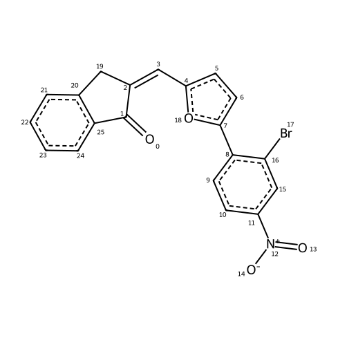 O=C1C(=Cc2ccc(-c3ccc([N+](=O)[O-])cc3Br)o2)Cc2ccccc21